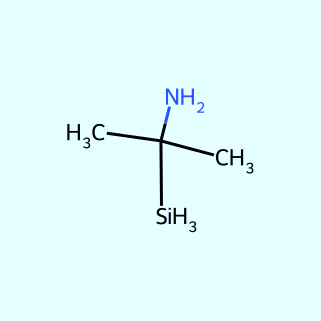 CC(C)(N)[SiH3]